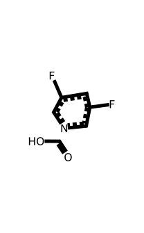 Fc1cncc(F)c1.O=CO